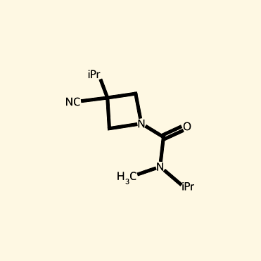 CC(C)N(C)C(=O)N1CC(C#N)(C(C)C)C1